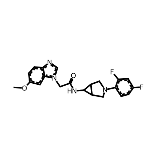 COc1ccc2ncn(CC(=O)NC3C4CN(c5ccc(F)cc5F)CC43)c2c1